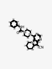 N#Cc1c2n(c3c(N4CCN(C(=O)Nc5ccccc5)CC4)ncnc13)CCCC2